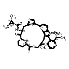 CCCn1c(-c2cccnc2[C@H](C)OC)c2c3cc(ccc31)-c1csc(n1)C[C@H](NC(=O)[C@H]1[C@H](C)[C@@H]1C)C(=O)N1CCC[C@H](N1)C(=O)OCC(C)(C)C2